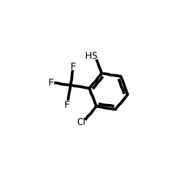 FC(F)(F)c1c(S)cccc1Cl